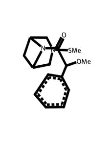 COC(C(=O)N1C2CC1CN(SC)C2)c1ccccc1